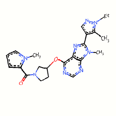 CCn1ncc(-c2nc3c(OC4CCN(C(=O)c5cccn5C)C4)ncnc3n2C)c1C